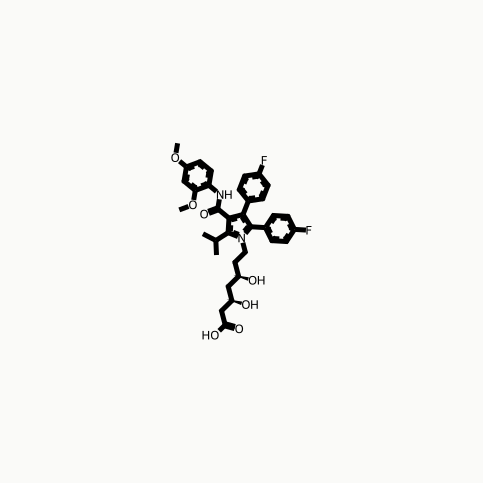 COc1ccc(NC(=O)c2c(-c3ccc(F)cc3)c(-c3ccc(F)cc3)n(CC[C@@H](O)C[C@@H](O)CC(=O)O)c2C(C)C)c(OC)c1